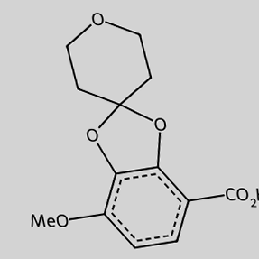 COc1ccc(C(=O)O)c2c1OC1(CCOCC1)O2